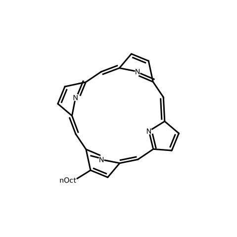 CCCCCCCCC1=CC2=CC3=NC(=CC4=NC(=CC5=NC(=CC1=N2)C=C5)C=C4)C=C3